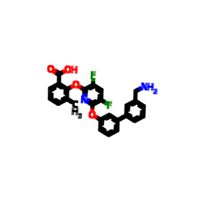 Cc1cccc(C(=O)O)c1Oc1nc(Oc2cccc(-c3cccc(CN)c3)c2)c(F)cc1F